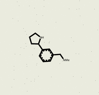 CNCc1cccc(C2CCCN2)c1